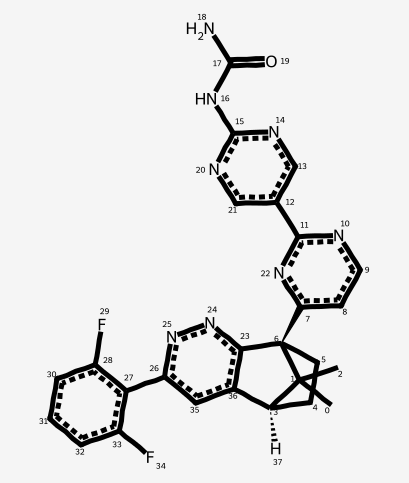 CC1(C)[C@H]2CC[C@@]1(c1ccnc(-c3cnc(NC(N)=O)nc3)n1)c1nnc(-c3c(F)cccc3F)cc12